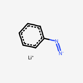 [Li+].[N-]=Nc1ccccc1